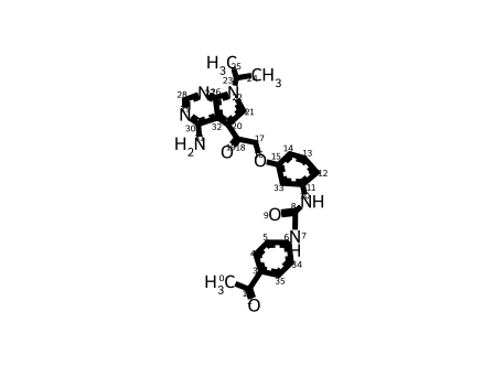 CC(=O)c1ccc(NC(=O)Nc2cccc(OCC(=O)c3cn(C(C)C)c4ncnc(N)c34)c2)cc1